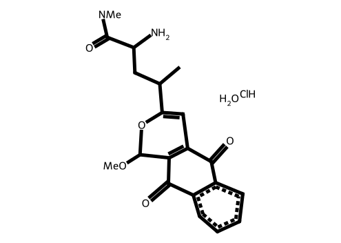 CNC(=O)C(N)CC(C)C1=CC2=C(C(=O)c3ccccc3C2=O)C(OC)O1.Cl.O